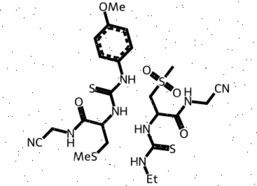 CCNC(=S)NC(CS(C)(=O)=O)C(=O)NCC#N.COc1ccc(NC(=S)NC(CSC)C(=O)NCC#N)cc1